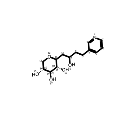 OC(CCc1cccnc1)CC1OC[C@@H](O)[C@H](O)[C@H]1O